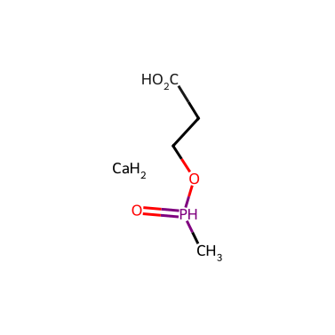 C[PH](=O)OCCC(=O)O.[CaH2]